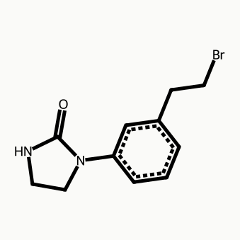 O=C1NCCN1c1cccc(CCBr)c1